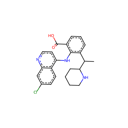 CC(c1cccc(C(=O)O)c1Nc1ccnc2cc(Cl)ccc12)C1CCCCN1